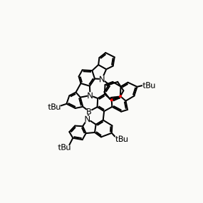 CC(C)(C)c1cc2ccc3c4c5c(c6ccc(c1)c2c36)-n1c2c(cc(C(C)(C)C)cc2c2ccc3c(c21)N(C1=CC=CCC1)C1C=CC=CC31)B5n1c2ccc(C(C)(C)C)cc2c2cc(C(C)(C)C)cc-4c21